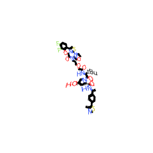 Cc1ncsc1-c1ccc(C(C)NC(=O)[C@@H]2C[C@@H](O)CN2C(=O)C(NC(=O)COCCCNC(=O)COc2c(-c3csc(N4CCOCC4)n3)ccc(F)c2F)C(C)(C)C)cc1